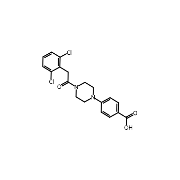 O=C(O)c1ccc(N2CCN(C(=O)Cc3c(Cl)cccc3Cl)CC2)cc1